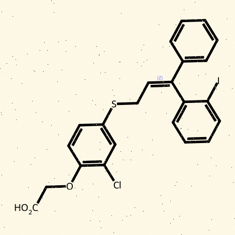 O=C(O)COc1ccc(SC/C=C(/c2ccccc2)c2ccccc2I)cc1Cl